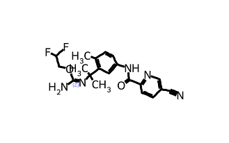 Cc1ccc(NC(=O)c2ccc(C#N)cn2)cc1C(C)(C)/N=C(/N)OCC(F)F